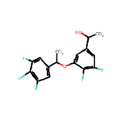 OC(c1cc(F)c(F)c(OC(c2cc(F)c(F)c(F)c2)C(Cl)(Cl)Cl)c1)C(Cl)(Cl)Cl